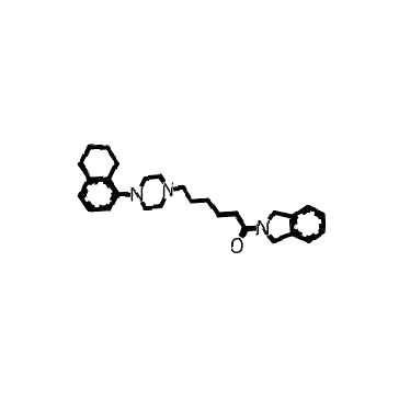 O=C(CCCCCN1CCN(c2cccc3c2CCCC3)CC1)N1Cc2ccccc2C1